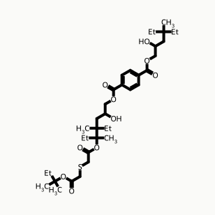 CCC(C)(CC)CC(O)COC(=O)c1ccc(C(=O)OCC(O)CC(C)(CC)C(C)(CC)OC(=O)CSCC(=O)OC(C)(C)CC)cc1